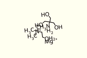 C[N+](C)(C)CCO.NC(CO)(CO)CO.[Mg+2]